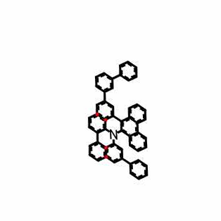 c1ccc(-c2cccc(-c3cccc(-c4c(N(c5cccc(-c6ccccc6)c5)c5ccccc5-c5ccccc5)c5ccccc5c5ccccc45)c3)c2)cc1